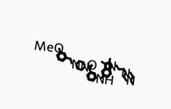 COc1cccc(CCN2CCN(C(=O)c3cccc(Nc4ccc5c(c4)c(C)c(C)n5CCCN4CCN(C)CC4)c3)CC2)c1